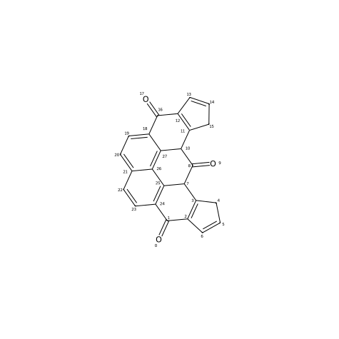 O=C1C2=C(CC=C2)C2C(=O)C3C4=C(C=CC4)C(=O)c4ccc5ccc1c2c5c43